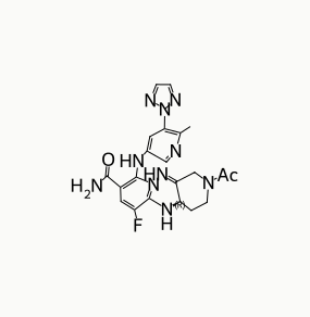 CC(=O)N1CC[C@@H](Nc2nc(Nc3cnc(C)c(-n4nccn4)c3)c(C(N)=O)cc2F)C(=N)C1